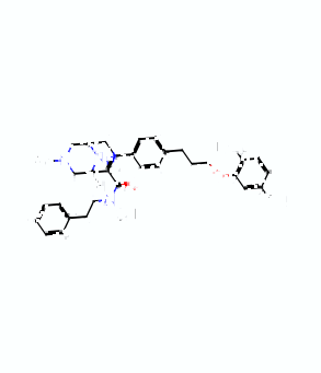 CC(=O)N1CC2CC(c3ccc(CCCOc4cc(C)ccc4C)cc3)=C(C(=O)N(C)CCc3ccccc3)[C@@H](C1)N2